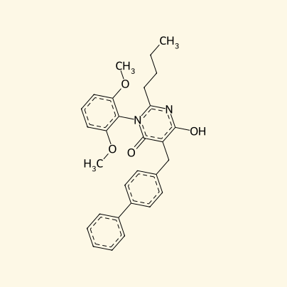 CCCCc1nc(O)c(Cc2ccc(-c3ccccc3)cc2)c(=O)n1-c1c(OC)cccc1OC